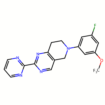 Fc1cc(OC(F)(F)F)cc(N2CCc3nc(-c4ncccn4)ncc3C2)c1